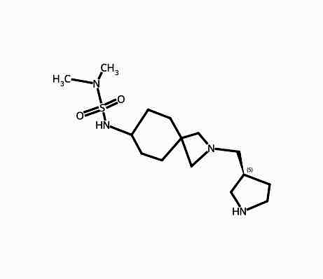 CN(C)S(=O)(=O)NC1CCC2(CC1)CN(C[C@H]1CCNC1)C2